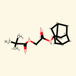 CC(C)(C)C(=O)OCC(=O)OC12CC3CC(CC(C3)C1)C2